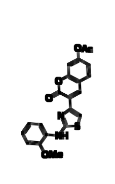 COc1ccccc1Nc1nc(-c2cc3ccc(OC(C)=O)cc3oc2=O)cs1